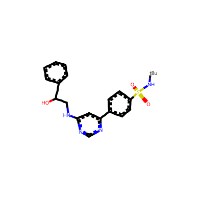 CC(C)(C)NS(=O)(=O)c1ccc(-c2cc(NCC(O)c3ccccc3)ncn2)cc1